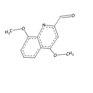 COc1cc([C]=O)nc2c(OC)cccc12